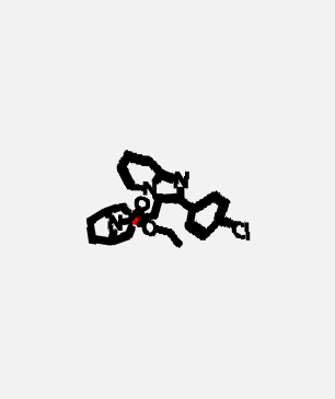 CCOC(=O)N1C2CCC1CN(Cc1c(-c3ccc(Cl)cc3)nc3ccccn13)C2